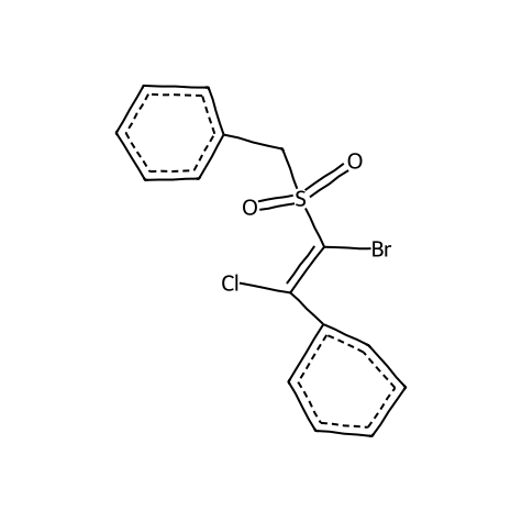 O=S(=O)(Cc1ccccc1)C(Br)=C(Cl)c1ccccc1